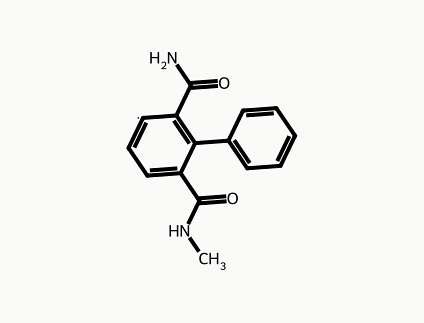 CNC(=O)c1cc[c]c(C(N)=O)c1-c1ccccc1